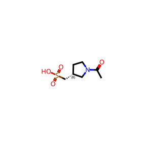 CC(=O)N1CC[C@@H](CS(=O)(=O)O)C1